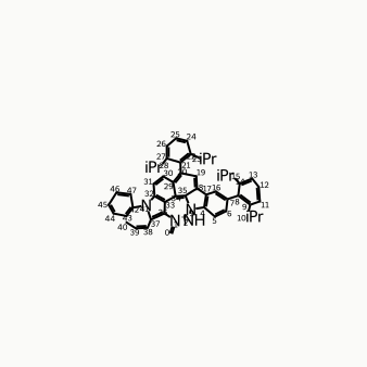 C=[n+]1[nH]n2c3ccc(-c4c(C(C)C)cccc4C(C)C)cc3c3cc(-c4c(C(C)C)cccc4C(C)C)c4ccc5c(c4c32)c1c(/C=C\C)n5-c1ccccc1